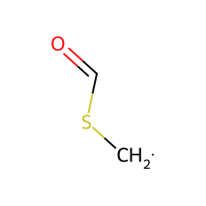 [CH2]SC=O